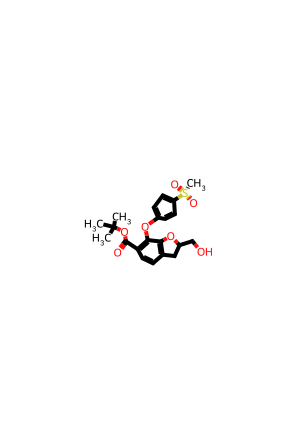 CC(C)(C)OC(=O)c1ccc2c(c1Oc1ccc(S(C)(=O)=O)cc1)OC(CO)C2